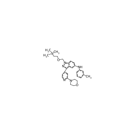 Cc1cccc(Nc2ccc3c(c2)c(-c2ccnc(N4CCOCC4)c2)nn3COCC[Si](C)(C)C)c1